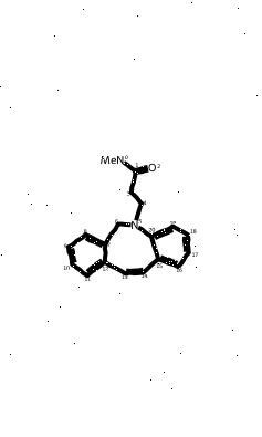 CNC(=O)CCN1Cc2ccccc2/C=C\c2ccccc21